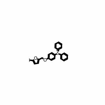 Ic1ccc(COc2ccc([SH](c3ccccc3)c3ccccc3)cc2)o1